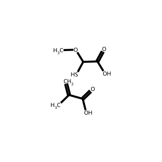 C=C(C)C(=O)O.COC(S)C(=O)O